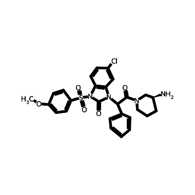 COc1ccc(S(=O)(=O)n2c(=O)n(C(C(=O)N3CCC[C@H](N)C3)c3ccccc3)c3cc(Cl)ccc32)cc1